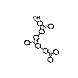 OCc1ccc2c(c1)c1cc(-c3ccc4c(c3)c3cc(-c5ccc(N(c6ccccc6)c6ccccc6)cc5)ccc3n4-c3ccccc3)ccc1n2-c1ccccc1